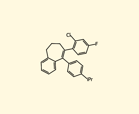 CC(C)c1ccc(C2=C(c3ccc(F)cc3Cl)CCCc3ccccc32)cc1